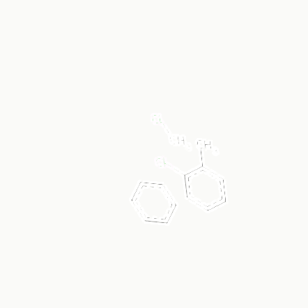 CCl.Cc1ccccc1Cl.c1ccccc1